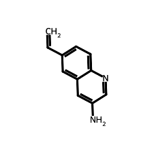 C=Cc1ccc2ncc(N)cc2c1